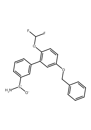 N[S+]([O-])c1cccc(-c2cc(OCc3ccccc3)ccc2OC(F)F)c1